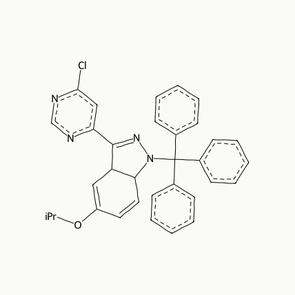 CC(C)OC1=CC2C(c3cc(Cl)ncn3)=NN(C(c3ccccc3)(c3ccccc3)c3ccccc3)C2C=C1